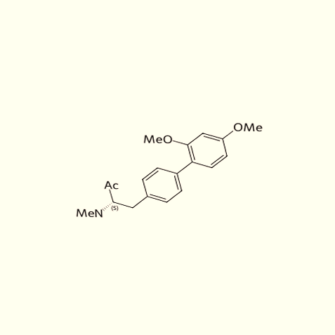 CN[C@@H](Cc1ccc(-c2ccc(OC)cc2OC)cc1)C(C)=O